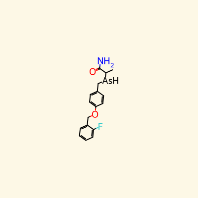 CC([AsH]Cc1ccc(OCc2ccccc2F)cc1)C(N)=O